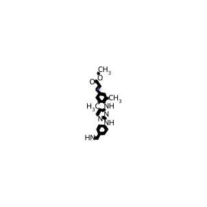 CCOC(=O)/C=C/c1cc(C)c(Nc2ccnc(Nc3ccc(C=N)cc3)n2)c(C)c1